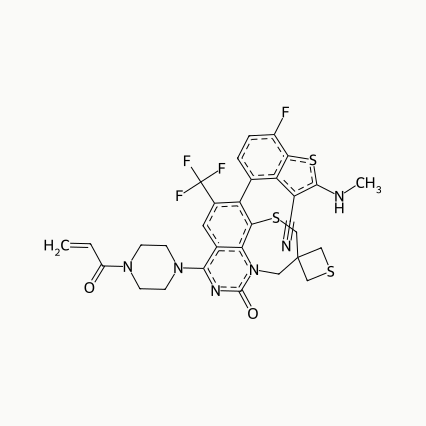 C=CC(=O)N1CCN(c2nc(=O)n3c4c(c(-c5ccc(F)c6sc(NC)c(C#N)c56)c(C(F)(F)F)cc24)SCC2(CSC2)C3)CC1